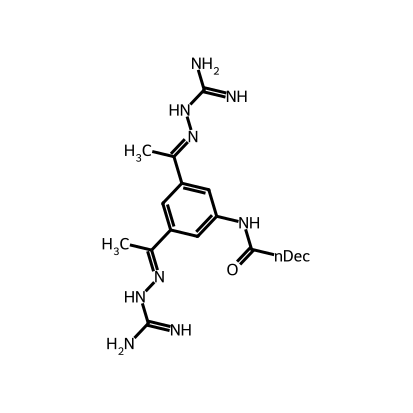 CCCCCCCCCCC(=O)Nc1cc(/C(C)=N/NC(=N)N)cc(/C(C)=N/NC(=N)N)c1